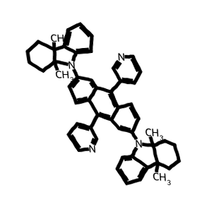 CC12CCCCC1(C)N(c1ccc3c(-c4cccnc4)c4cc(N5c6ccccc6C6(C)CCCCC56C)ccc4c(-c4cccnc4)c3c1)c1ccccc12